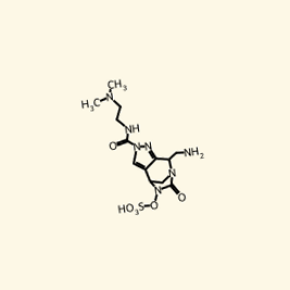 CN(C)CCNC(=O)n1cc2c(n1)C(CN)N1CC2N(OS(=O)(=O)O)C1=O